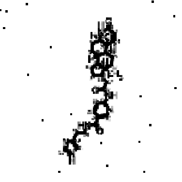 C[C@]12C=CC(=O)N[C@@H]1CC[C@@H]1[C@@H]2CC[C@]2(C)[C@@H](CC(=O)Nc3ccc(C(=O)NCCc4c[nH]cn4)cn3)CC[C@@H]12